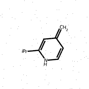 C=C1C=CNC(C(C)C)=C1